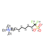 CC[N+](CC)(CC)CC.O=S(=O)([O-])C(F)(F)CCCCCC(F)(F)F